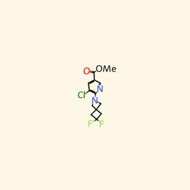 COC(=O)c1cnc(N2CC3(C2)CC(F)(F)C3)c(Cl)c1